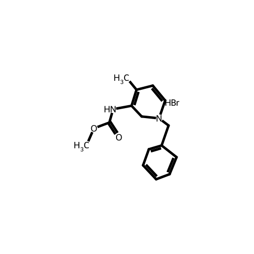 Br.COC(=O)NC1=C(C)C=CN(Cc2ccccc2)C1